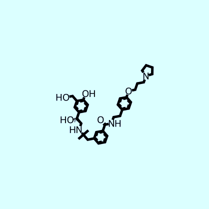 CC(C)(Cc1cccc(C(=O)NCCc2ccc(OCCCN3CCCC3)cc2)c1)NC[C@H](O)c1ccc(O)c(CO)c1